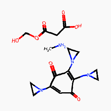 CN.O=C(O)CC(=O)OCO.O=C1C=C(N2CC2)C(=O)C(N2CC2)=C1N1CC1